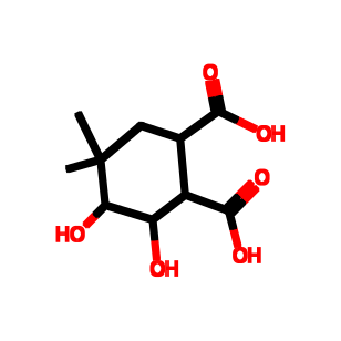 CC1(C)CC(C(=O)O)C(C(=O)O)C(O)C1O